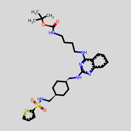 CC(C)(C)OC(=O)NCCCCNc1nc(NC[C@H]2CC[C@H](CNS(=O)(=O)c3cccs3)CC2)nc2ccccc12